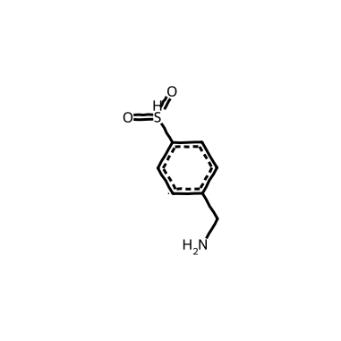 NCc1[c]cc([SH](=O)=O)cc1